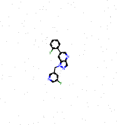 Fc1cncc(Cn2ncc3ncc(-c4ccccc4F)cc32)c1